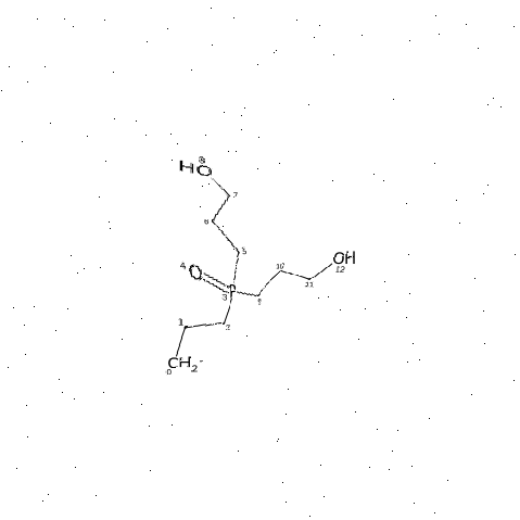 [CH2]CCP(=O)(CCCO)CCCO